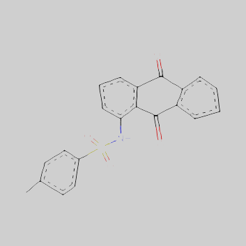 Cc1ccc(S(=O)(=O)Nc2cccc3c2C(=O)c2ccccc2C3=O)cc1